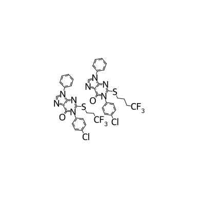 O=c1c2ncn(-c3ccccc3)c2nc(SCCC(F)(F)F)n1-c1ccc(Cl)cc1.O=c1c2ncn(-c3ccccc3)c2nc(SCCCC(F)(F)F)n1-c1ccc(Cl)cc1